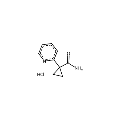 Cl.NC(=O)C1(c2ccccn2)CC1